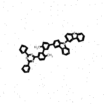 Cc1ccc(-c2ccc3c(c2)c2ccccc2n3-c2ccc3sc4ccccc4c3c2)cc1-c1cc(-c2nc(-c3ccccc3)nc(-c3ccccc3)n2)ccc1C